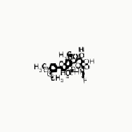 COc1ccc(-c2cc(=O)c3c(OC)c(C4OC(C(=O)NCCF)C(O)C(O)C4O)c(OC)cc3o2)cc1OC